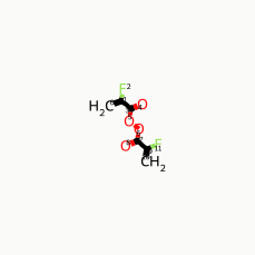 C=C(F)C(=O)OOC(=O)C(=C)F